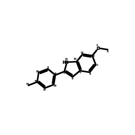 COc1ccc2cc(-c3ccc(C)cc3)[nH]c2c1